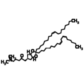 CCCCC/C=C\C/C=C\CCCCCCCCC1(CCCCCCCC/C=C\CCCCCCCC)O[C@H]2C[C@H](CC(=O)CCCN(C)C)C[C@H]2O1